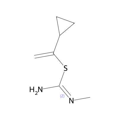 C=C(S/C(N)=N\C)C1CC1